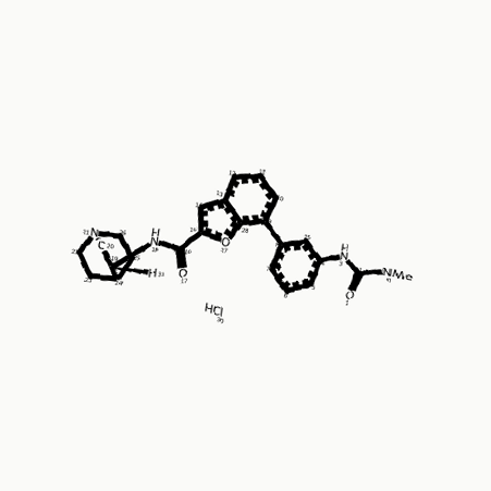 CNC(=O)Nc1cccc(-c2cccc3cc(C(=O)N[C@H]4CN5CCC4CC5)oc23)c1.Cl